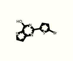 Oc1nc(-c2ccc(Br)s2)nc2ccsc12